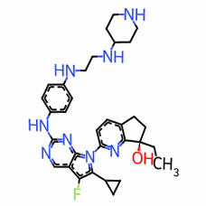 CC[C@@]1(O)CCc2ccc(-n3c(C4CC4)c(F)c4cnc(Nc5ccc(NCCNC6CCNCC6)cc5)nc43)nc21